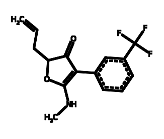 C=CCC1OC(NC)=C(c2cccc(C(F)(F)F)c2)C1=O